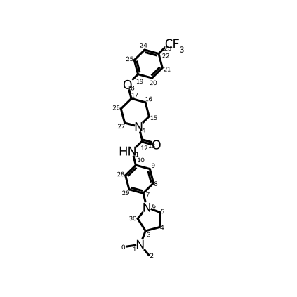 CN(C)C1CCN(c2ccc(NC(=O)N3CCC(Oc4ccc(C(F)(F)F)cc4)CC3)cc2)C1